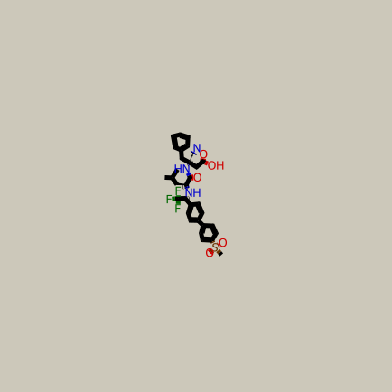 CC(C)C[C@H](N[C@@H](c1ccc(-c2ccc(S(C)(=O)=O)cc2)cc1)C(F)(F)F)C(=O)N[C@](C#N)(CC(=O)O)Cc1ccccc1